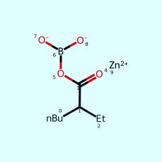 CCCCC(CC)C(=O)OB([O-])[O-].[Zn+2]